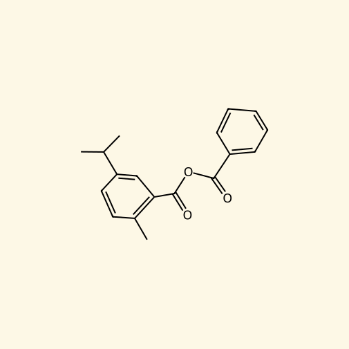 Cc1ccc(C(C)C)cc1C(=O)OC(=O)c1ccccc1